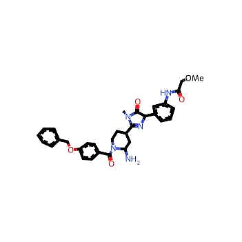 COCC(=O)Nc1cccc(C2N=C(C3CCN(C(=O)c4ccc(OCc5ccccc5)cc4)C(N)C3)N(C)C2=O)c1